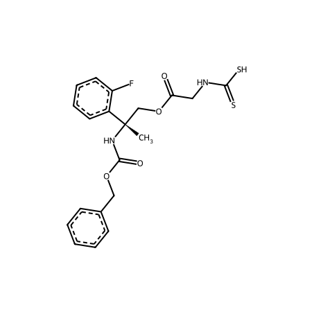 C[C@@](COC(=O)CNC(=S)S)(NC(=O)OCc1ccccc1)c1ccccc1F